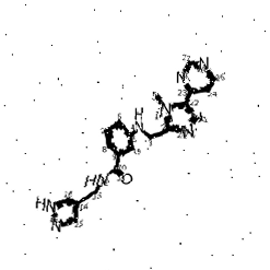 Cn1c(CNc2cccc(C(=O)NCc3cn[nH]c3)c2)nnc1-c1ccncn1